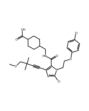 COCC(C)(C)C#Cc1nc(Cl)n(CCOc2ccc(Cl)cc2)c1C(=O)NCC1CCC(C(=O)O)CC1